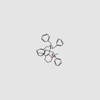 CC1=C[C](C[Si](C)(C)c2ccccc2)([Ti]([CH2]c2ccccc2)([CH2]c2ccccc2)[CH2]c2ccccc2)C2=C1CCCC2